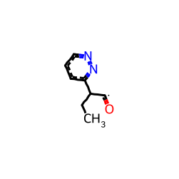 CCC([C]=O)c1cccnn1